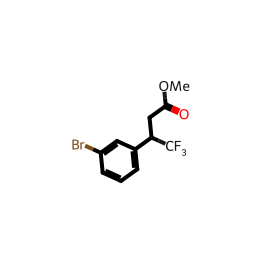 COC(=O)CC(c1cccc(Br)c1)C(F)(F)F